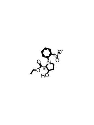 CCOC(=O)[C@@H]1C(O)CCN1c1ccccc1[N+](=O)[O-]